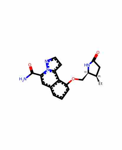 CC[C@@H]1CC(=O)N[C@@H]1COc1cccc2cc(C(N)=O)n3nccc3c12